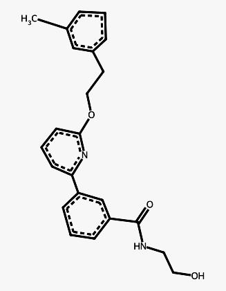 Cc1cccc(CCOc2cccc(-c3cccc(C(=O)NCCO)c3)n2)c1